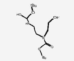 CC(C)(C)OC(=O)N(CCO)CCNC(O)OC(C)(C)C